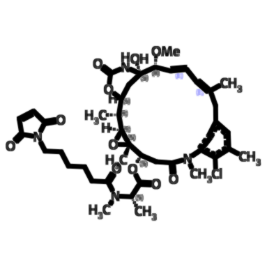 CO[C@@H]1/C=C/C=C(\C)Cc2cc(C)c(Cl)c(c2)N(C)C(=O)C[C@H](OC(=O)[C@H](C)N(C)C(=O)CCCCCN2C(=O)C=CC2=O)[C@]2(C)O[C@H]2[C@H](C)[C@@H]2C[C@@]1(O)NC(=O)O2